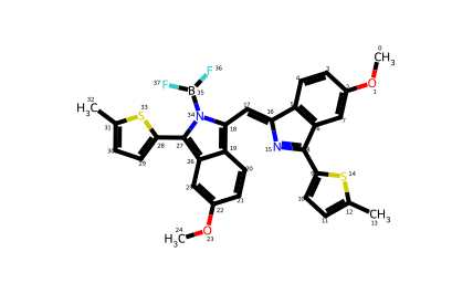 COc1ccc2c(c1)C(c1ccc(C)s1)=N/C2=C\c1c2ccc(OC)cc2c(-c2ccc(C)s2)n1B(F)F